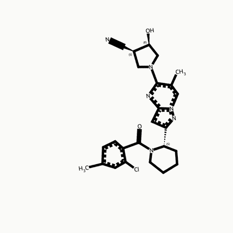 Cc1ccc(C(=O)N2CCCC[C@H]2c2cc3nc(N4C[C@@H](C#N)[C@@H](O)C4)c(C)cn3n2)c(Cl)c1